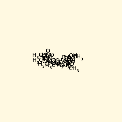 CCC(C(=O)[C@@H](C)[C@@H](O)C1(C)C[C@]12O[C@@H]([C@@H](CC)C(=O)O)CC[C@@H]2C)[C@H]1O[C@]2(C=CC(NC(=O)NC3CCCC3)[C@]3(CC[C@@](C)([C@H]4CC[C@](O)(CC)[C@H](C)O4)O3)O2)[C@H](C)C[C@@H]1C